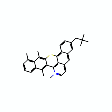 Cc1c2c(c(C)c3c(C)cccc13)Sc1c3ccc(CC(C)(C)C)cc3cc3cc[n+](C)c-2c13